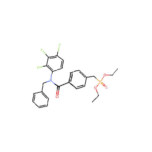 CCOP(=O)(Cc1ccc(C(=O)N(Cc2ccccc2)c2ccc(F)c(F)c2F)cc1)OCC